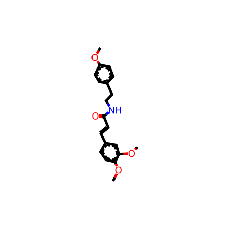 COc1ccc(CCNC(=O)/C=C/c2ccc(OC)c(OC)c2)cc1